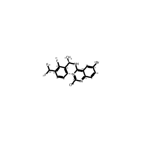 C[C@@H](Nc1nc(Cl)nc2ccc(Br)cc12)c1cccc(C(F)F)c1F